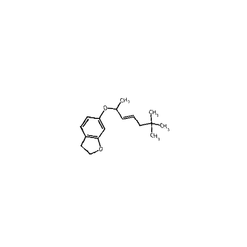 CC(/C=C/CC(C)(C)C)Oc1ccc2c(c1)OCC2